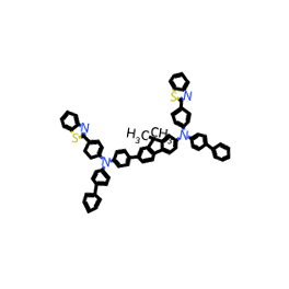 CC1(C)c2cc(-c3ccc(N(C4=CC=C(c5nc6ccccc6s5)CC4)c4ccc(-c5ccccc5)cc4)cc3)ccc2-c2ccc(N(c3ccc(-c4ccccc4)cc3)c3ccc(-c4nc5ccccc5s4)cc3)cc21